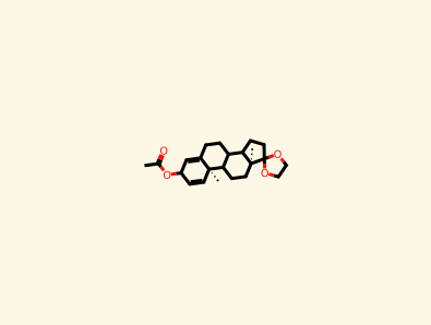 CC(=O)OC1C=C[C@@]2(C)C(=C1)CCC1C2CC[C@@]2(C)C1CCC21OCCO1